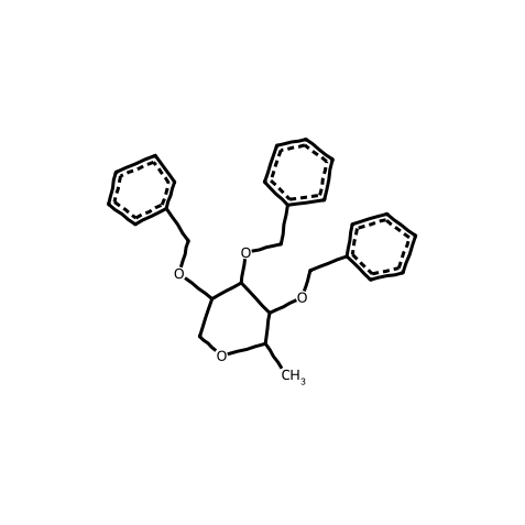 CC1OCC(OCc2ccccc2)C(OCc2ccccc2)C1OCc1ccccc1